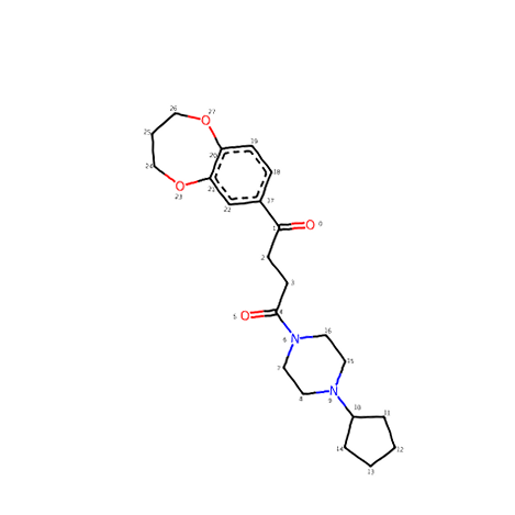 O=C(CCC(=O)N1CCN(C2CCCC2)CC1)c1ccc2c(c1)OCCCO2